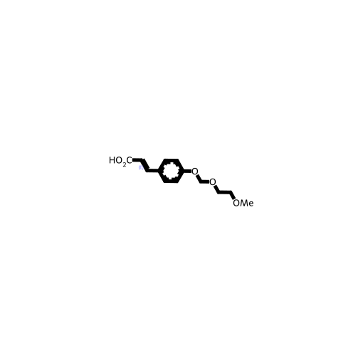 COCCOCOc1ccc(/C=C/C(=O)O)cc1